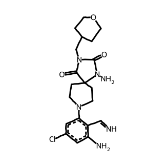 N=Cc1c(N)cc(Cl)cc1N1CCC2(CC1)C(=O)N(CC1CCOCC1)C(=O)N2N